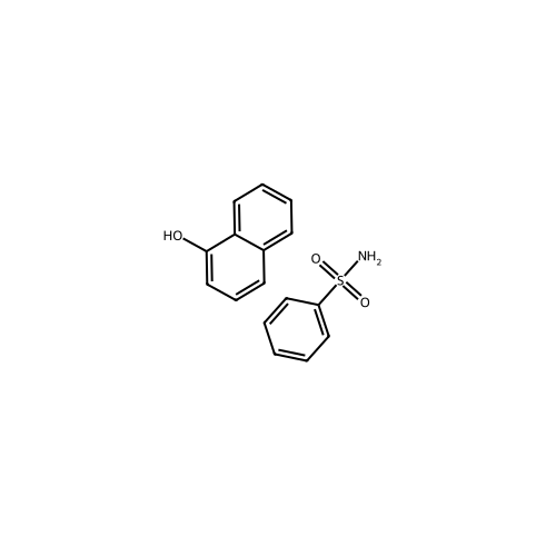 NS(=O)(=O)c1ccccc1.Oc1cccc2ccccc12